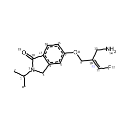 CC(C)N1Cc2cc(OC/C(=C/F)CN)ccc2C1=O